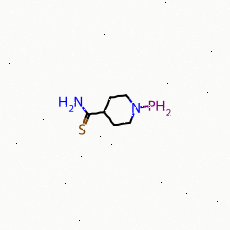 NC(=S)C1CCN(P)CC1